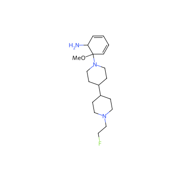 COC1(N2CCC(C3CCN(CCF)CC3)CC2)C=CC=CC1N